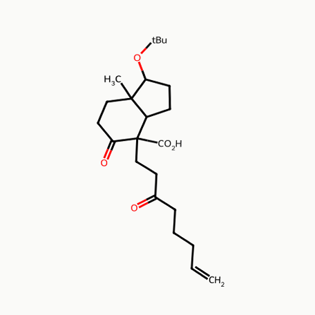 C=CCCCC(=O)CCC1(C(=O)O)C(=O)CCC2(C)C(OC(C)(C)C)CCC12